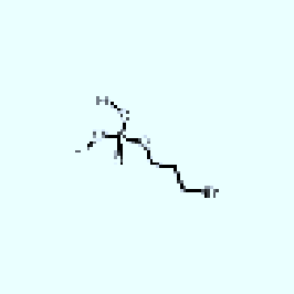 CCOP(=O)(OCC)OCCCC(C)C